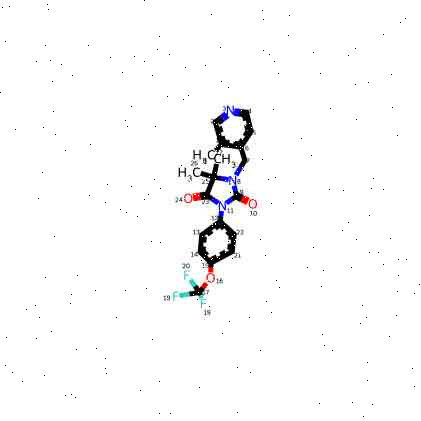 Cc1cnccc1CN1C(=O)N(c2ccc(OC(F)(F)F)cc2)C(=O)C1(C)C